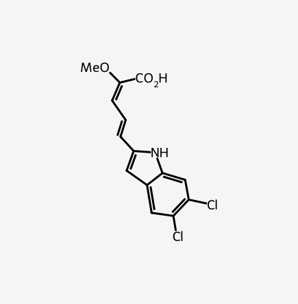 CO/C(=C/C=C/c1cc2cc(Cl)c(Cl)cc2[nH]1)C(=O)O